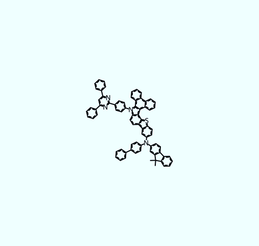 CC1(C)c2ccccc2-c2ccc(N(c3ccc(-c4ccccc4)cc3)c3ccc4sc5c(ccc6c5c5c7ccccc7c7ccccc7c5n6-c5ccc(-c6nc(-c7ccccc7)cc(-c7ccccc7)n6)cc5)c4c3)cc21